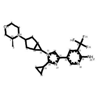 C[C@H]1COCCN1C1CC2C(C1)C2n1cc(-c2cnc(N)c(C(F)(F)F)c2)nc1C1CC1